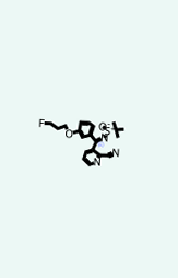 CC(C)(C)[S+]([O-])/N=C(\c1cccc(OCCCF)c1)c1cccnc1C#N